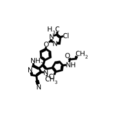 C=CC(=O)Nc1ccc(-c2c(-c3ccc(Oc4ncc(Cl)c(C)n4)cc3)c3c(N)ncc(C#N)c3n2C)c(Cl)c1